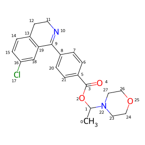 CC(OC(=O)c1ccc(C2=NCCc3ccc(Cl)cc32)cc1)N1CCOCC1